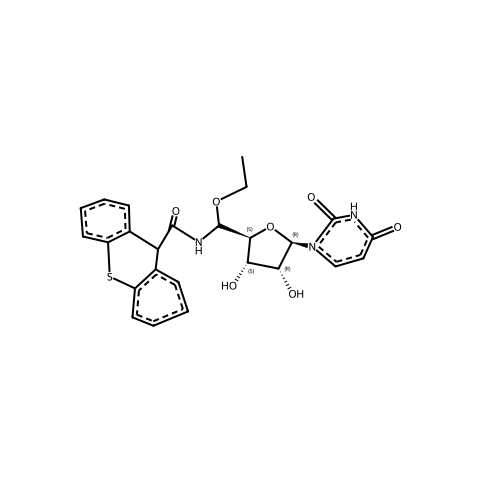 CCOC(NC(=O)C1c2ccccc2Sc2ccccc21)[C@H]1O[C@@H](n2ccc(=O)[nH]c2=O)[C@H](O)[C@@H]1O